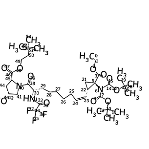 CCOC(=O)[C@@]1(N(C(=O)OC(C)(C)C)C(=O)OC(C)(C)C)C[C@H]1/C=C\CCCCC[C@H](NC(=O)C(F)(F)F)C(=O)N1C[C@H](O)C[C@H]1C(=O)OCC[Si](C)(C)C